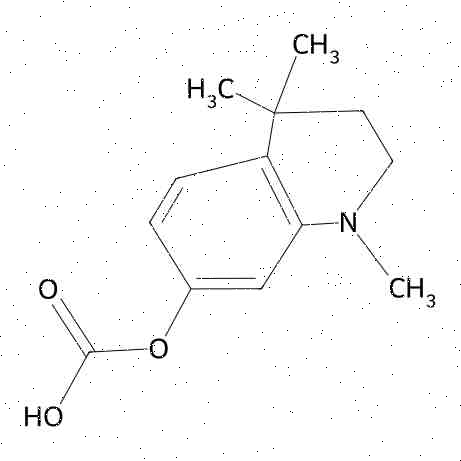 CN1CCC(C)(C)c2ccc(OC(=O)O)cc21